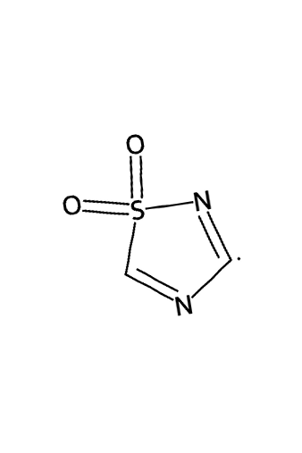 O=S1(=O)C=N[C]=N1